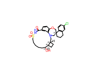 O=C1NS(=O)(=O)CCCCC[C@H](O)[C@@H]2CC[C@H]2CN2C[C@@]3(CCCc4cc(Cl)ccc43)COc3ccc1cc32